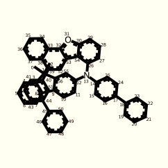 CC1(C)c2ccccc2-c2ccc(N(c3ccc(-c4ccccc4)cc3)c3cccc4oc5c6ccccc6c(-c6cccc(-c7ccccc7)c6)cc5c34)cc21